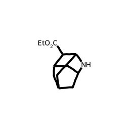 CCOC(=O)C1C2CC3CC(C2)NC1C3